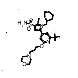 Cc1c(S(N)(=O)=O)cc(-c2cc(OCCCN3CCOCC3)nc(C(C)(C)C)c2)n1CC1CCCCC1